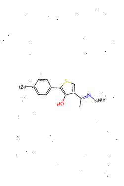 CNN=C(C)c1csc(-c2ccc(C(C)(C)C)cc2)c1O